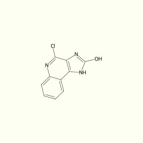 Oc1nc2c(Cl)nc3ccccc3c2[nH]1